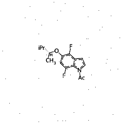 CC(=O)n1ccc2c(F)c(O[C@H](C)C(C)C)cc(F)c21